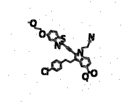 COCCOc1ccc2sc(C#Cc3c(CCc4ccc(Cl)cc4)c4cc(C(=O)OC)ccc4n3CCC#N)nc2c1